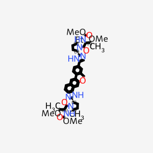 CC[C@H]1CC[C@@H](c2ncc(-c3ccc4c(c3)COc3cc5c(ccc6nc([C@@H]7CC[C@H](C)N7C(=O)[C@@H](NC(=O)OC)[C@@H](C)OC)[nH]c65)cc3-4)[nH]2)N1C(=O)C(NC(=O)OC)[C@@H](C)OC